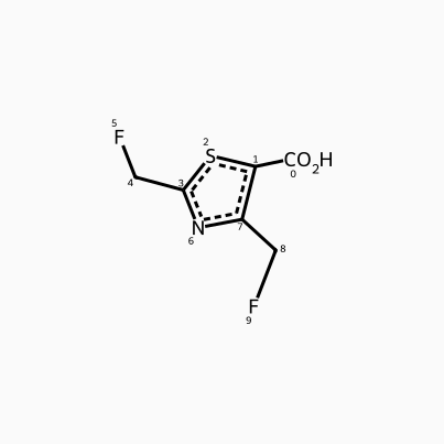 O=C(O)c1sc(CF)nc1CF